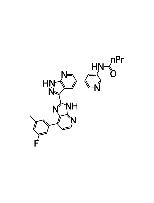 CCCC(=O)Nc1cncc(-c2cnc3[nH]nc(-c4nc5c(-c6cc(C)cc(F)c6)ccnc5[nH]4)c3c2)c1